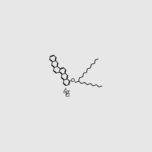 CCCCCCCCCCC(CCCCCCCC)COc1cccc2cc3c(ccc4c5cc6ccccc6cc5ccc34)cc12.[CH3][Sn]([CH3])([CH3])[Cl]